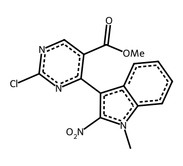 COC(=O)c1cnc(Cl)nc1-c1c([N+](=O)[O-])n(C)c2ccccc12